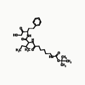 CCC(C)C(NC(=O)CCCCCNC(=O)OC(C)(C)C)C(=O)NC(CCc1ccccc1)C(=O)CO